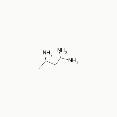 CC(N)CC(N)N